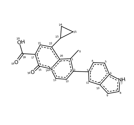 Cc1c(-c2ccc3[nH]ccc3c2)ccn2c(=O)c(C(=O)O)cc(C3CC3)c12